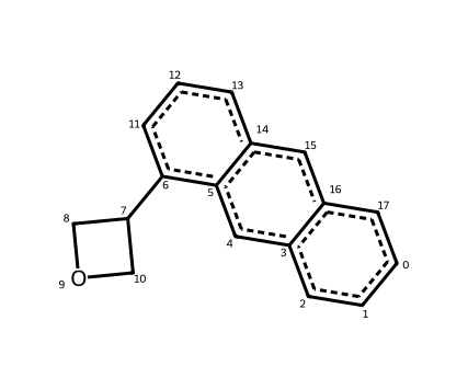 c1ccc2cc3c(C4COC4)cccc3cc2c1